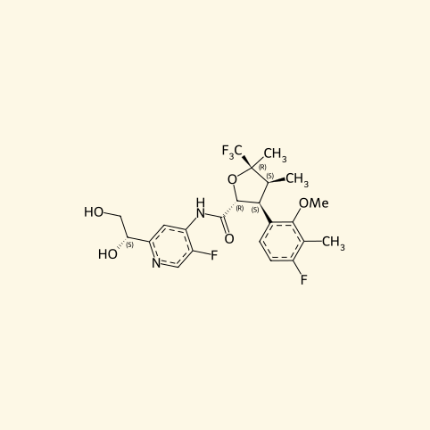 COc1c([C@H]2[C@H](C(=O)Nc3cc([C@H](O)CO)ncc3F)O[C@@](C)(C(F)(F)F)[C@H]2C)ccc(F)c1C